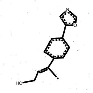 OC/C=C(\F)c1ccc(-c2cnco2)cc1